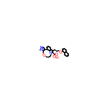 Cn1ncc2c1COCCCCn1c(C(=O)O)c(CCCOc3cccc4ccccc34)c3cccc-2c31